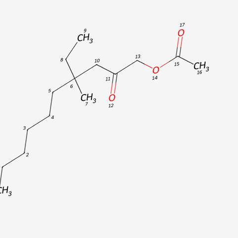 CCCCCCC(C)(CC)CC(=O)COC(C)=O